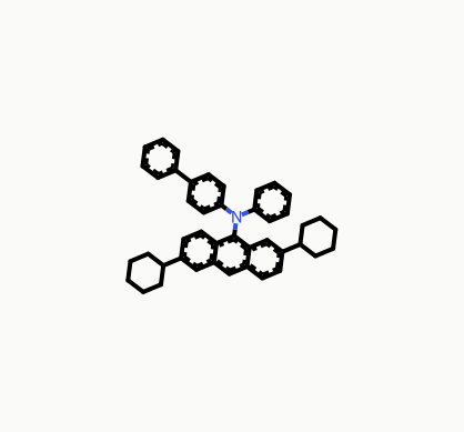 c1ccc(-c2ccc(N(c3ccccc3)c3c4ccc(C5CCCCC5)cc4cc4ccc(C5CCCCC5)cc34)cc2)cc1